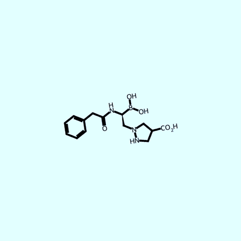 O=C(Cc1ccccc1)N[C@H](CN1CC(C(=O)O)CN1)B(O)O